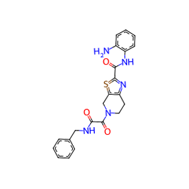 Nc1ccccc1NC(=O)c1nc2c(s1)CN(C(=O)C(=O)NCc1ccccc1)CC2